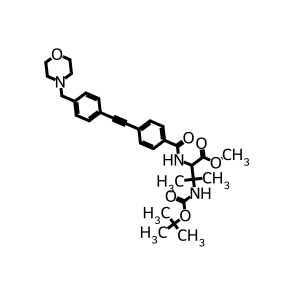 COC(=O)C(NC(=O)c1ccc(C#Cc2ccc(CN3CCOCC3)cc2)cc1)C(C)(C)NC(=O)OC(C)(C)C